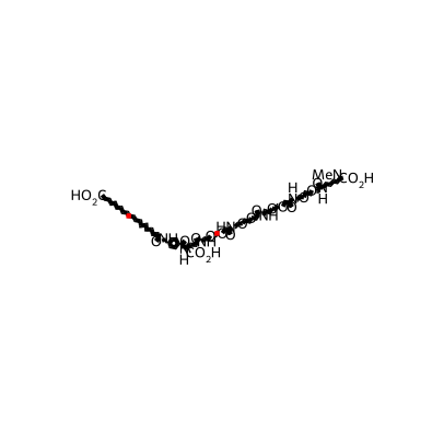 CN[C@@H](CCCCNC(=O)COCCOCCNC(=O)COCCOCCNC(=O)COCCOCCNC(=O)COCCOCCNC(=O)CC[C@H](NC(=O)[C@H]1CC[C@H](CNC(=O)CCCCCCCCCCCCCCCCCCC(=O)O)CC1)C(=O)O)C(=O)O